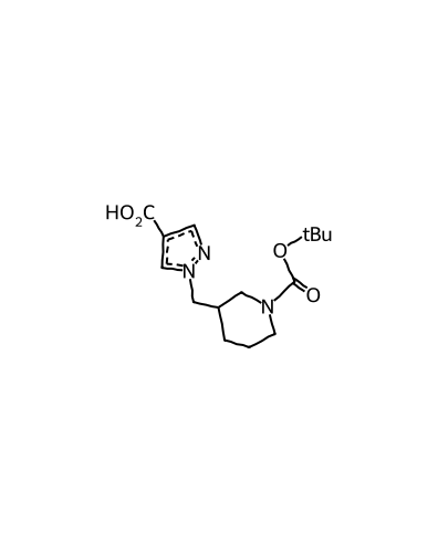 CC(C)(C)OC(=O)N1CCCC(Cn2cc(C(=O)O)cn2)C1